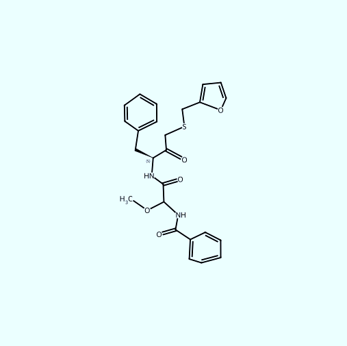 COC(NC(=O)c1ccccc1)C(=O)N[C@@H](Cc1ccccc1)C(=O)CSCc1ccco1